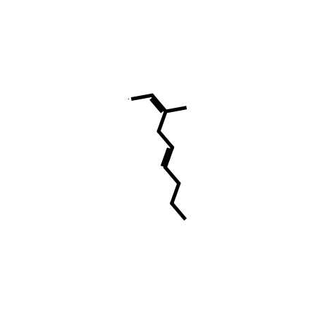 [CH2]C=C(C)CC=CCCC